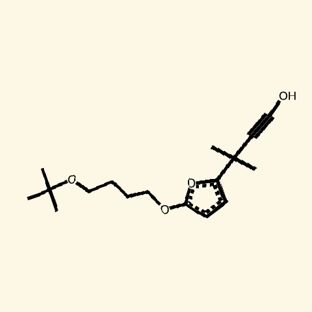 CC(C)(C)OCCCCOc1ccc(C(C)(C)C#CO)o1